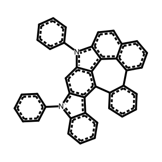 c1ccc(-n2c3ccccc3c3c4c5c6c7c(cccc7ccc6n(-c6ccccc6)c5cc32)-c2ccccc2-4)cc1